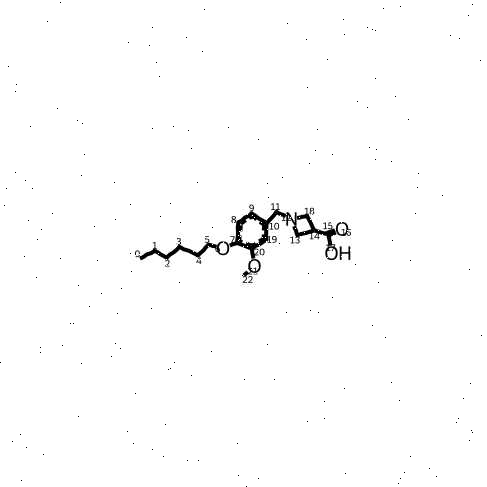 CCCCCCOc1ccc(CN2CC(C(=O)O)C2)cc1OC